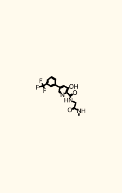 CNC(=O)CNC(=O)c1ncc(-c2cccc(C(F)(F)F)c2)cc1O